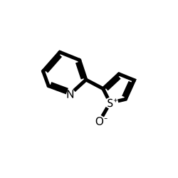 [O-][s+]1cccc1-c1ccccn1